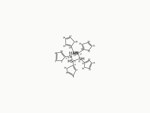 C1=CCC([SiH]2[SiH](C3=CC=CC3)[SiH](C3=CC=CC3)[SiH](C3=CC=CC3)[SiH]2C2=CC=CC2)=C1